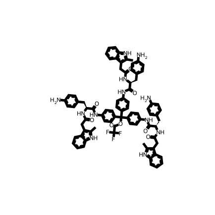 Cc1[nH]c2ccccc2c1CC(=O)N[C@@H](Cc1ccc(N)cc1)C(=O)Nc1ccc(C(OC(=O)C(F)(F)F)(c2ccc(NC(=O)[C@H](Cc3ccc(N)cc3)NC(=O)Cc3c(C)[nH]c4ccccc34)cc2)c2ccc(NC(=O)[C@H](Cc3ccc(N)cc3)NC(=O)Cc3c(C)[nH]c4ccccc34)cc2)cc1